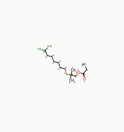 CC(C)CC(=O)OCC(C)(C)SCCCCCCC(F)F